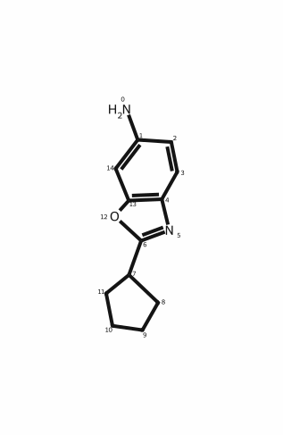 Nc1ccc2nc(C3CCCC3)oc2c1